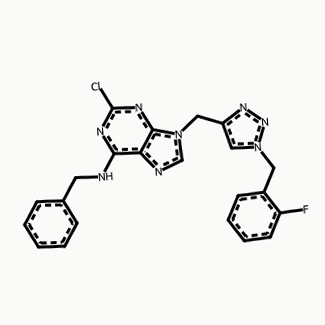 Fc1ccccc1Cn1cc(Cn2cnc3c(NCc4ccccc4)nc(Cl)nc32)nn1